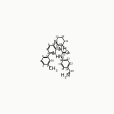 Cc1cccc(-c2ccc3c(n2)N(C(=O)Nc2ccc(CN)cc2)[C@H]2CCCN3C2)c1